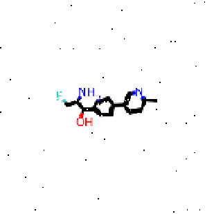 Cc1ccc(-c2ccc(C(O)C(N)CF)cc2)cn1